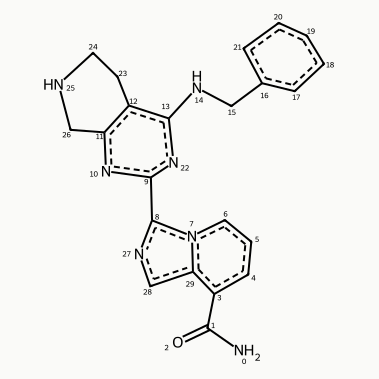 NC(=O)c1cccn2c(-c3nc4c(c(NCc5ccccc5)n3)CCNC4)ncc12